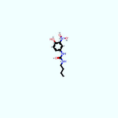 CCCCNC(=O)Nc1ccc(O)c([N+](=O)[O-])c1